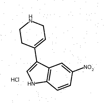 Cl.O=[N+]([O-])c1ccc2[nH]cc(C3=CCNCC3)c2c1